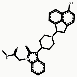 CNC(=O)Cn1c(=O)n(C2CCN(C3Cc4ccc(O)c5cccc3c45)CC2)c2ccccc21